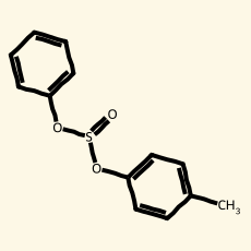 Cc1ccc(OS(=O)Oc2ccccc2)cc1